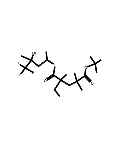 CCC(C)(CC(C)(C)C(=O)OC(C)(C)C)C(=O)OC(C)CC(C)(O)C(F)(F)F